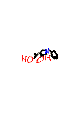 CC(CO)[C@H]1CCN(Cc2ccccc2)C[C@@H]1O